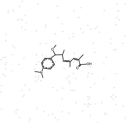 COC(c1ccc(N(C)C)cc1)C(C)C=C(C)C=C(C)C(=O)O